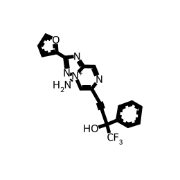 N[N+]12C=C(C#CC(O)(c3ccccc3)C(F)(F)F)N=CC1=NC(c1ccco1)=N2